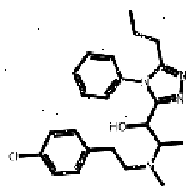 CCCc1nnc(C(O)C(C)N(C)CCc2ccc(Cl)cc2)n1-c1ccccc1